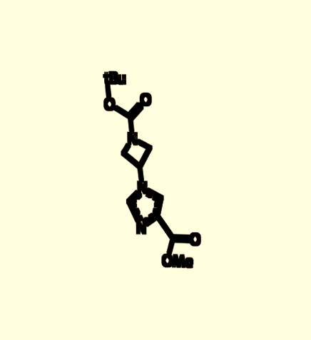 COC(=O)c1cn(C2CN(C(=O)OC(C)(C)C)C2)cn1